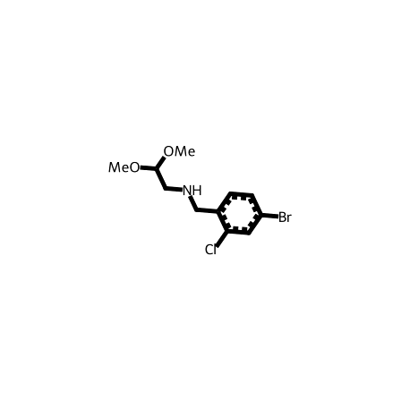 COC(CNCc1ccc(Br)cc1Cl)OC